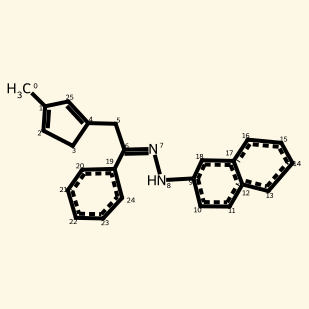 CC1=CCC(CC(=NNc2ccc3ccccc3c2)c2ccccc2)=C1